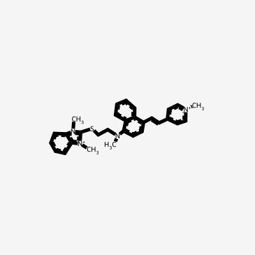 CN(CCSc1n(C)c2ccccc2[n+]1C)c1ccc(/C=C/c2cc[n+](C)cc2)c2ccccc12